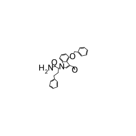 NC(=O)C(CCc1ccccc1)n1cc(C=O)c2c(OCc3ccccc3)cccc21